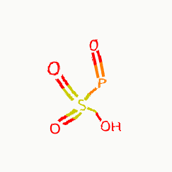 O=PS(=O)(=O)O